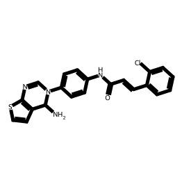 NC1c2ccsc2N=CN1c1ccc(NC(=O)/C=C/c2ccccc2Cl)cc1